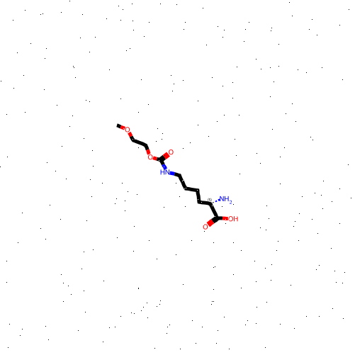 COCCOC(=O)NCCCC[C@H](N)C(=O)O